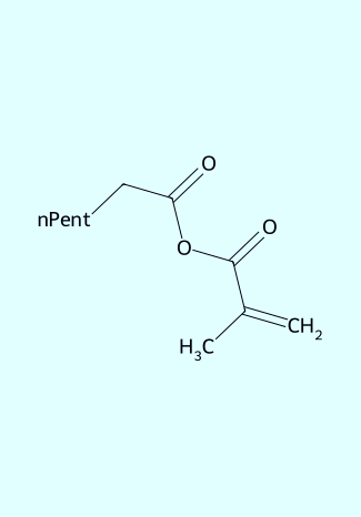 C=C(C)C(=O)OC(=O)CCCCCC